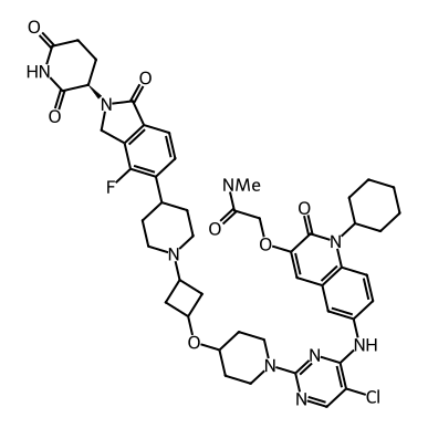 CNC(=O)COc1cc2cc(Nc3nc(N4CCC(OC5CC(N6CCC(c7ccc8c(c7F)CN([C@@H]7CCC(=O)NC7=O)C8=O)CC6)C5)CC4)ncc3Cl)ccc2n(C2CCCCC2)c1=O